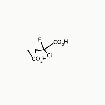 CC(=O)O.O=C(O)C(F)(F)Cl